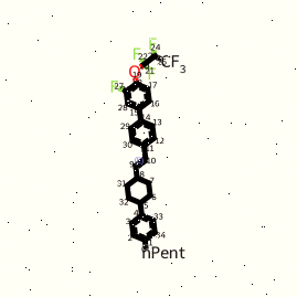 CCCCCc1ccc(C2CCC(/C=C/c3ccc(-c4ccc(OC(F)(F)C(F)C(F)(F)F)c(F)c4)cc3)CC2)cc1